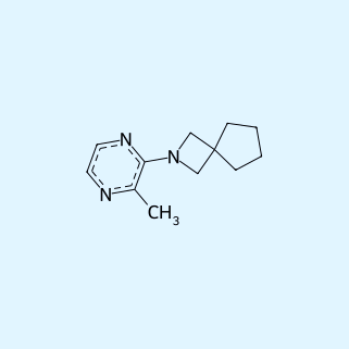 Cc1nccnc1N1CC2(CCCC2)C1